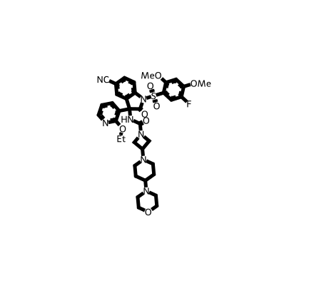 CCOc1ncccc1C1(NC(=O)N2CC(N3CCC(N4CCOCC4)CC3)C2)C(=O)N(S(=O)(=O)c2cc(F)c(OC)cc2OC)c2ccc(C#N)cc21